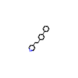 C(=C\c1ccc(-c2ccccc2)cc1)/c1ccncc1